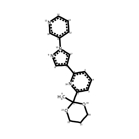 CC1(c2cccc(-c3cnn(-c4cccnc4)c3)n2)OCCCO1